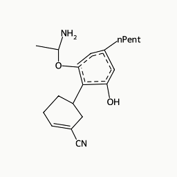 CCCCCc1cc(O)c(C2CCC=C(C#N)C2)c(OC(C)N)c1